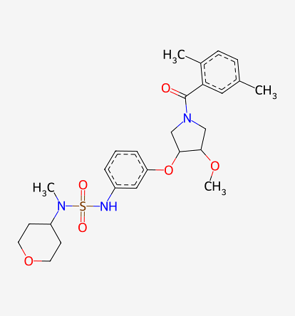 COC1CN(C(=O)c2cc(C)ccc2C)CC1Oc1cccc(NS(=O)(=O)N(C)C2CCOCC2)c1